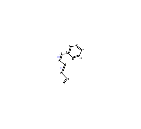 C=C/C=C/C=[C]\c1ccccc1